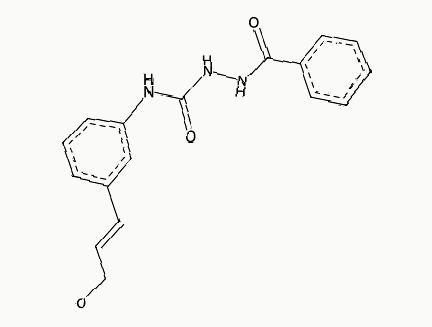 [O]CC=Cc1cccc(NC(=O)NNC(=O)c2ccccc2)c1